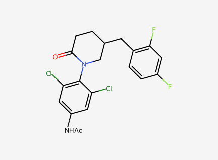 CC(=O)Nc1cc(Cl)c(N2CC(Cc3ccc(F)cc3F)CCC2=O)c(Cl)c1